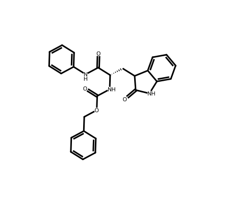 O=C(N[C@@H](CC1C(=O)Nc2ccccc21)C(=O)Nc1ccccc1)OCc1ccccc1